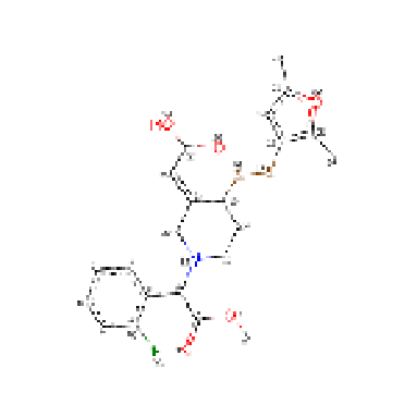 COC(=O)C(c1ccccc1F)N1CCC(SSc2cc(C)oc2C)/C(=C\C(=O)O)C1